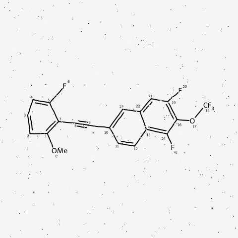 COc1cccc(F)c1C#Cc1ccc2c(F)c(OC(F)(F)F)c(F)cc2c1